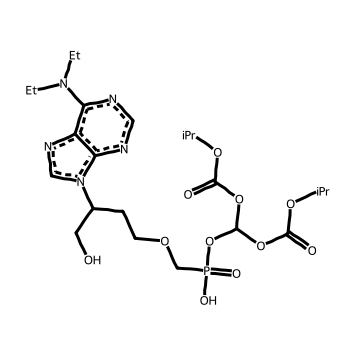 CCN(CC)c1ncnc2c1ncn2C(CO)CCOCP(=O)(O)OC(OC(=O)OC(C)C)OC(=O)OC(C)C